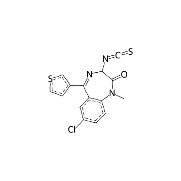 CN1C(=O)C(N=C=S)N=C(c2ccsc2)c2cc(Cl)ccc21